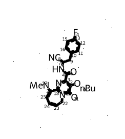 CCCCOc1c(C(=O)NC(C#N)Cc2ccc(F)cc2)nc2n(c1=O)CC=CC=C2NC